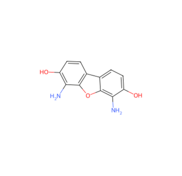 Nc1c(O)ccc2c1oc1c(N)c(O)ccc12